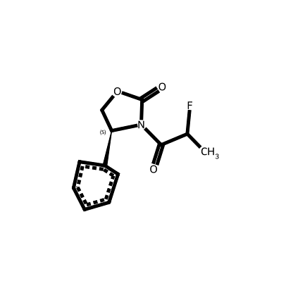 CC(F)C(=O)N1C(=O)OC[C@@H]1c1ccccc1